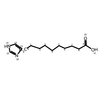 CCCCCCCCCC(=O)O.c1c[nH]cn1